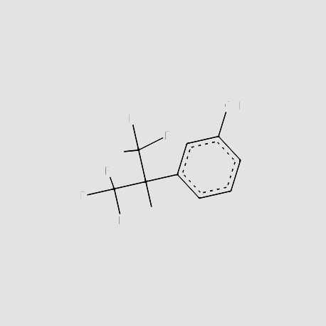 Cc1[c]ccc(C(F)(C(F)(F)F)C(F)(F)F)c1